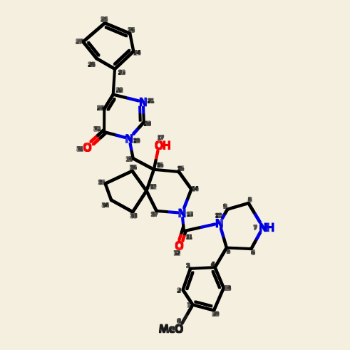 COc1ccc(C2CNCCN2C(=O)N2CCC(O)(Cn3cnc(-c4ccccc4)cc3=O)C3(CCCC3)C2)cc1